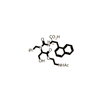 CC(=O)NCCOC(=O)C(CO)N(CC(C)C)C(=O)N[C@@H](Cc1cccc2ccccc12)C(=O)O